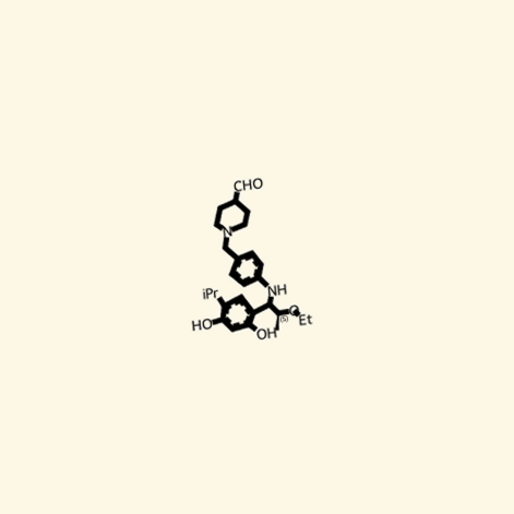 CCO[C@@H](C)C(Nc1ccc(CN2CCC(C=O)CC2)cc1)c1cc(C(C)C)c(O)cc1O